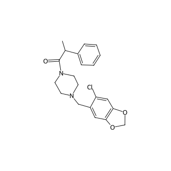 CC(C(=O)N1CCN(Cc2cc3c(cc2Cl)OCO3)CC1)c1ccccc1